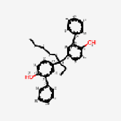 CCCCCC(CC)(c1ccc(O)c(-c2ccccc2)c1)c1ccc(O)c(-c2ccccc2)c1